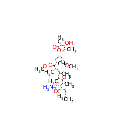 C=C/C=C\[C@H](C)[C@H](OC(N)=O)[C@@H](C)[C@H](O)[C@@H](C)C/C(C)=C\[C@H](C)[C@@H](OCOC)[C@@H](C)/C=C\[C@H](C[C@@H]1OC(=O)[C@H](C)[C@@H](O)[C@H]1C)OCOC